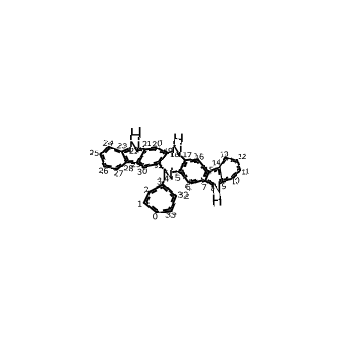 c1ccc(N2c3cc4[nH]c5ccccc5c4cc3Nc3cc4[nH]c5ccccc5c4cc32)cc1